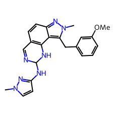 COc1cccc(Cc2c3c4c(ccc3nn2C)C=NC(Nc2ccn(C)n2)N4)c1